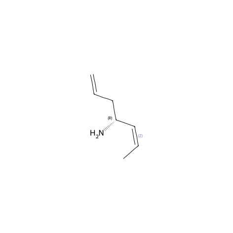 C=CC[C@@H](N)/C=C\C